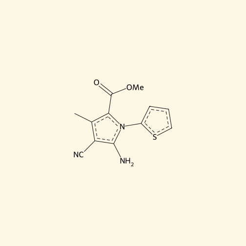 COC(=O)c1c(C)c(C#N)c(N)n1-c1cccs1